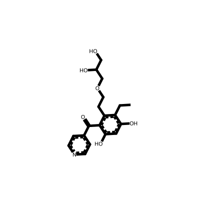 CCc1c(O)cc(O)c(C(=O)c2ccncc2)c1CCOCC(O)CO